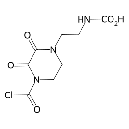 O=C(O)NCCN1CCN(C(=O)Cl)C(=O)C1=O